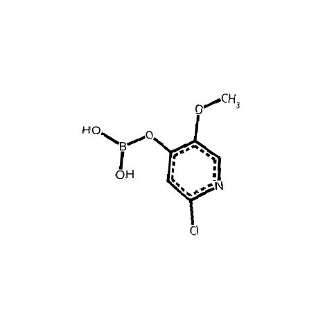 COc1cnc(Cl)cc1OB(O)O